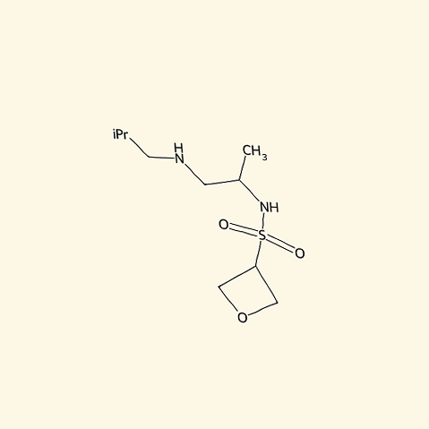 CC(C)CNCC(C)NS(=O)(=O)C1COC1